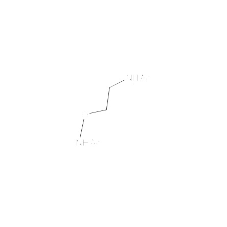 CC(=O)[N]OCCNC(C)=O